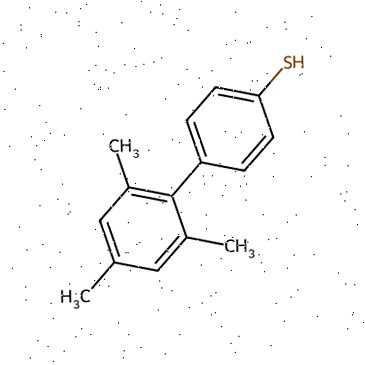 Cc1cc(C)c(-c2ccc(S)cc2)c(C)c1